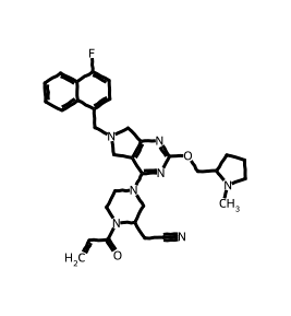 C=CC(=O)N1CCN(c2nc(OCC3CCCN3C)nc3c2CN(Cc2ccc(F)c4ccccc24)C3)CC1CC#N